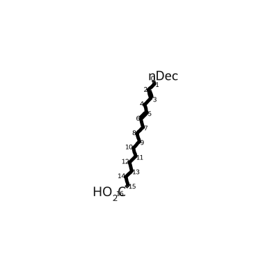 CCCCCCCCCCCC=CCC=CCCCCCCCCCC(=O)O